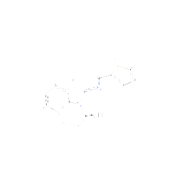 CCOC(=O)C(C)n1c(=NC(=O)c2ccc(Cl)s2)sc2ccccc21